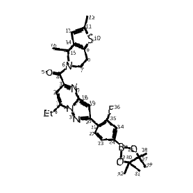 CCc1cc(C(=O)N2CCc3sc(C)cc3C2C)nc2cc(-c3ccc(B4OC(C)(C)C(C)(C)O4)cc3F)nn12